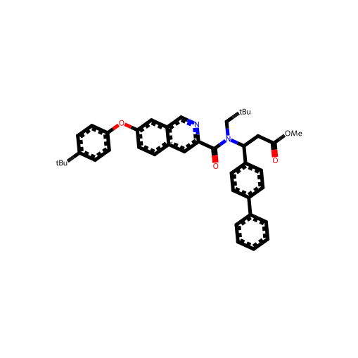 COC(=O)CC(c1ccc(-c2ccccc2)cc1)N(CC(C)(C)C)C(=O)c1cc2ccc(Oc3ccc(C(C)(C)C)cc3)cc2cn1